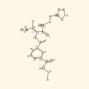 C=C(S/C(C(=O)NCCN1CCCC1)=C(/C)N)c1cccc(C(=O)OCC)c1